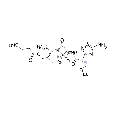 CCO/N=C(\C(=O)N[C@@H]1C(=O)N2C(C(=O)O)=C(COC(=O)CCC=O)CS[C@@H]12)c1nsc(N)n1